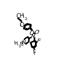 C=CCOc1ccc(COC(=O)N(Cc2ccc(F)cc2F)C2CCN(C)CC2)cc1